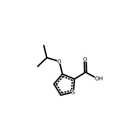 CC(C)Oc1ccsc1C(=O)O